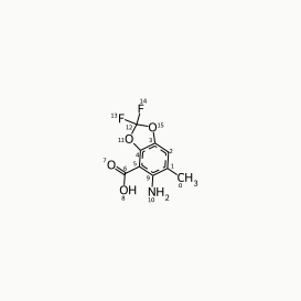 Cc1cc2c(c(C(=O)O)c1N)OC(F)(F)O2